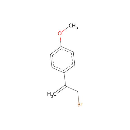 C=C(CBr)c1ccc(OC)cc1